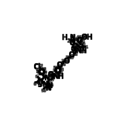 Cc1sc2c(c1C)C(c1ccc(Cl)cc1)=N[C@@H](CC(=O)Nc1ccc(OCCOCCOCC(=O)N[C@H](C(=O)N3C[C@H](O)C[C@H]3C(N)=O)C(C)(C)C)cc1)c1nnc(C)n1-2